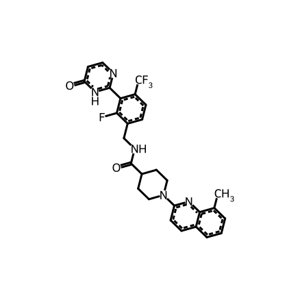 Cc1cccc2ccc(N3CCC(C(=O)NCc4ccc(C(F)(F)F)c(-c5nccc(=O)[nH]5)c4F)CC3)nc12